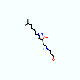 CC(C)CCCCCCCCCNCCC=O.NO